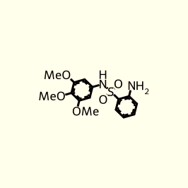 COc1cc(NS(=O)(=O)c2ccccc2N)cc(OC)c1OC